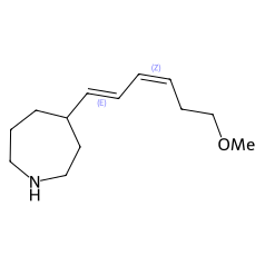 COCC/C=C\C=C\C1CCCNCC1